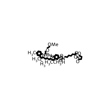 CCCCN1C(=CC=CC2=[N+](CCOCCOC)c3ccc(C)cc3C2(C)C)C(C)(C)c2cc(S(=O)(=O)NCCCCCC(=O)ON3C(=O)CCC3=O)ccc21